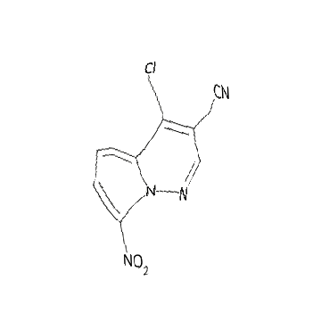 N#Cc1cnn2c([N+](=O)[O-])ccc2c1Cl